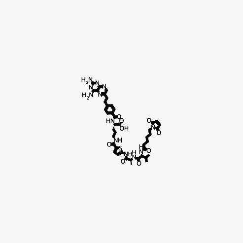 CC(C)[C@H](NC(=O)CCCCCN1C(=O)C=CC1=O)C(=O)N[C@@H](C)C(=O)Nc1ccc(C(=O)NCCC[C@H](NC(=O)c2ccc(CCc3cnc4nc(N)nc(N)c4n3)cc2)C(=O)O)s1